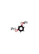 CC(C)Oc1[c]c(OC(C)C)ccc1